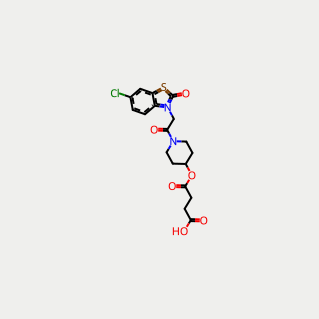 O=C(O)CCC(=O)OC1CCN(C(=O)Cn2c(=O)sc3cc(Cl)ccc32)CC1